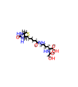 O=C(CCCC[C@@H]1SC[C@@H]2NC(=O)N[C@@H]21)NCCCC[C@H](NC(=O)CO)C(=O)O